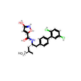 C[C@H](C[C@@H](Cc1ccc(-c2cc(Cl)ccc2Cl)cc1)NC(=O)c1cc(O)no1)C(=O)O